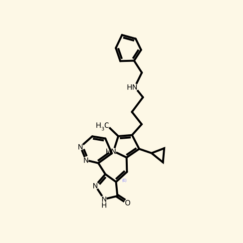 Cc1[nH]c(/C=C2/C(=O)NN=C2c2cccnn2)c(C2CC2)c1CCCNCc1ccccc1